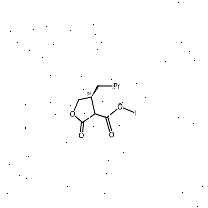 CC(C)C[C@@H]1COC(=O)C1C(=O)OI